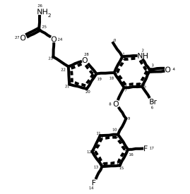 Cc1[nH]c(=O)c(Br)c(OCc2ccc(F)cc2F)c1-c1ccc(COC(N)=O)o1